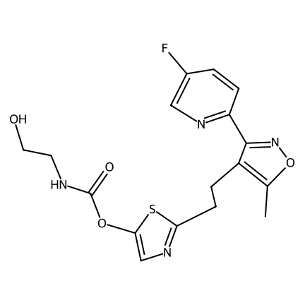 Cc1onc(-c2ccc(F)cn2)c1CCc1ncc(OC(=O)NCCO)s1